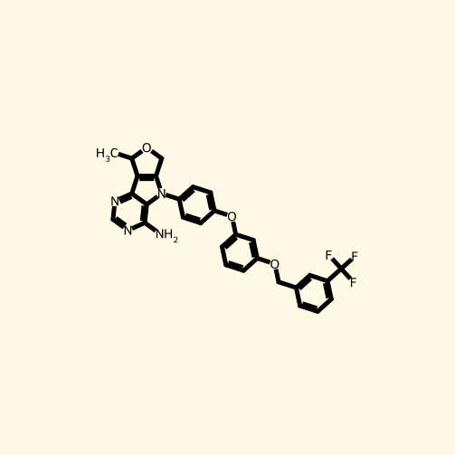 CC1OCc2c1c1ncnc(N)c1n2-c1ccc(Oc2cccc(OCc3cccc(C(F)(F)F)c3)c2)cc1